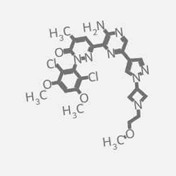 COCCN1CC(n2cc(-c3cnc(N)c(-c4cc(C)c(=O)n(-c5c(Cl)c(OC)cc(OC)c5Cl)n4)n3)cn2)C1